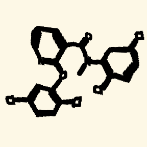 CN(C(=O)c1cccnc1Oc1cc(Cl)ccc1Cl)c1cc(Cl)ccc1Cl